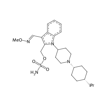 CON=Cc1c(COS(N)(=O)=O)n(C2CCN([C@H]3CC[C@@H](C(C)C)CC3)CC2)c2ccccc12